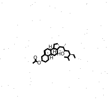 CC[C@H](C[C@@H](O)[C@@H](C)[C@H]1CC[C@H]2[C@@H]3CC=C4C[C@@H](OC(C)=O)CC[C@]4(C)[C@H]3CC[C@]12C)C(C)C